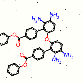 Nc1ccc(Oc2ccc(N)c(N)c2-c2ccc(C(=O)Oc3ccccc3)cc2)c(-c2ccc(C(=O)Oc3ccccc3)cc2)c1N